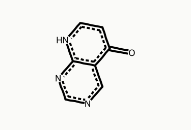 O=c1cc[nH]c2ncncc12